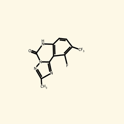 Cc1nc2c3c(F)c(C(F)(F)F)ccc3[nH]c(=O)n2n1